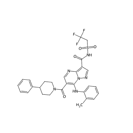 Cc1ccccc1Nc1c(C(=O)N2CCC(c3ccccc3)CC2)cnc2c(C(=O)NS(=O)(=O)CC(F)(F)F)cnn12